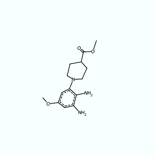 COC(=O)C1CCN(c2cc(OC)cc(N)c2N)CC1